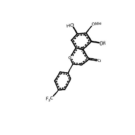 COc1c(O)cc2oc(-c3ccc(C(F)(F)F)cc3)cc(=O)c2c1O